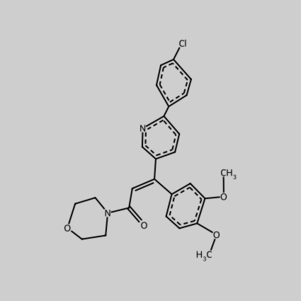 COc1ccc(/C(=C\C(=O)N2CCOCC2)c2ccc(-c3ccc(Cl)cc3)nc2)cc1OC